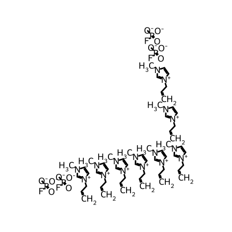 C=CC[n+]1ccn(C)c1.C=CC[n+]1ccn(C)c1.C=CC[n+]1ccn(C)c1.C=CC[n+]1ccn(C)c1.C=CC[n+]1ccn(C)c1.C=CC[n+]1ccn(C)c1.C=CC[n+]1ccn(C)c1.C=CC[n+]1ccn(C)c1.O=P([O-])([O-])F.O=P([O-])([O-])F.O=P([O-])([O-])F.O=P([O-])([O-])F